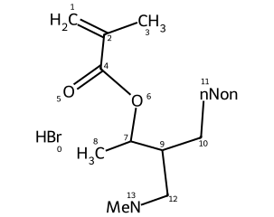 Br.C=C(C)C(=O)OC(C)C(CCCCCCCCCC)CNC